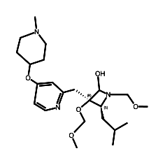 COCO[C@@]1(Cc2cc(OC3CCN(C)CC3)ccn2)C(O)N(COC)[C@H]1CC(C)C